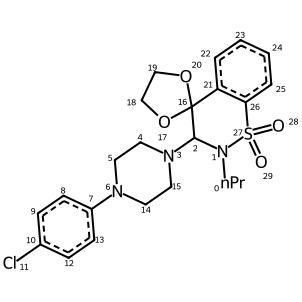 CCCN1C(N2CCN(c3ccc(Cl)cc3)CC2)C2(OCCO2)c2ccccc2S1(=O)=O